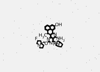 CC1c2c(nc(N)c3c(N4CC5CCC(C4)N5)nc(OC[C@@]45CCCN4C[C@H](F)C5)nc23)-c2cc(O)cc3cccc1c23